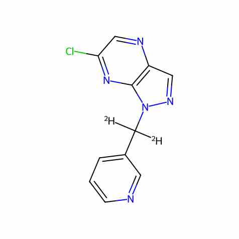 [2H]C([2H])(c1cccnc1)n1ncc2ncc(Cl)nc21